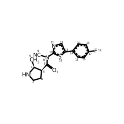 C[C@@H]1NCC[C@@H]1C(=O)N(C#N)c1ncc(-c2ccc(F)cc2)s1